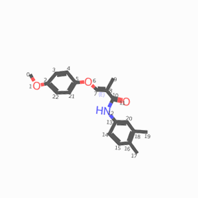 COc1ccc(O/C=C(\C)C(=O)Nc2ccc(C)c(C)c2)cc1